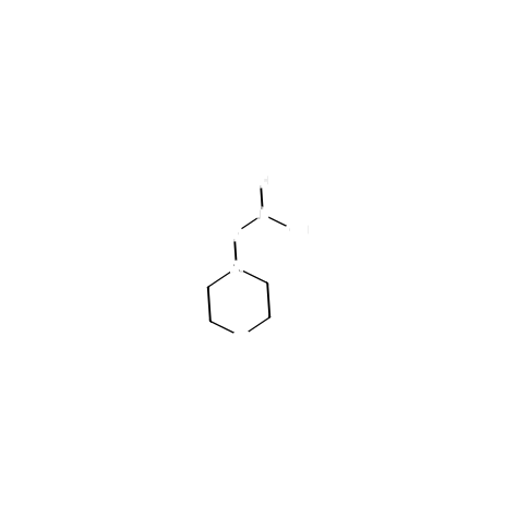 OP(O)ON1CCOCC1